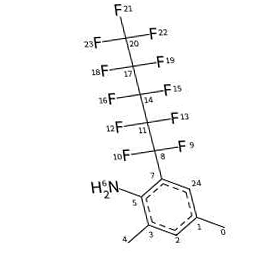 Cc1cc(C)c(N)c(C(F)(F)C(F)(F)C(F)(F)C(F)(F)C(F)(F)F)c1